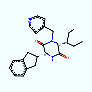 CCC(CC)[C@@H]1C(=O)N[C@H](C2Cc3ccccc3C2)C(=O)N1Cc1ccncc1